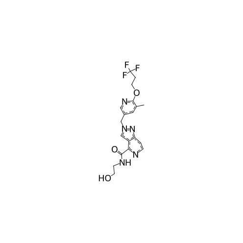 Cc1cc(Cn2cc3c(C(=O)NCCO)nccc3n2)cnc1OCCC(F)(F)F